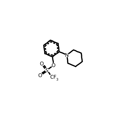 O=S(=O)(Oc1ccccc1N1CCCCC1)C(F)(F)F